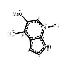 COc1c[n+]([O-])c2[nH]ccc2c1C